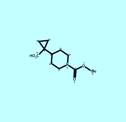 CC(C)(C)OC(=O)N1CCC(C2(C(=O)O)CC2)CC1